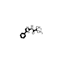 CC(C)C(=O)Nc1ncc(-c2ccccc2)s1